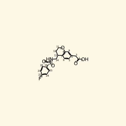 O=C(O)Cc1ccc2c(c1)OCCC2CNS(=O)(=O)c1ccc(F)cc1